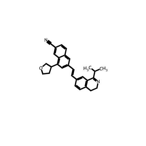 CC(C)C1=NCCc2ccc(C=Cc3cc(C4CCOC4)c4cc(C#N)ccc4c3)cc21